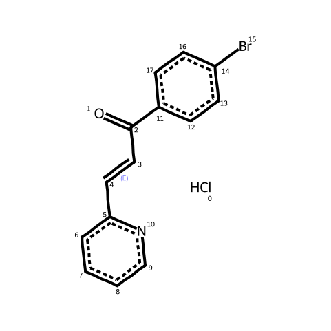 Cl.O=C(/C=C/c1ccccn1)c1ccc(Br)cc1